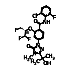 Cn1c(C(C)(C)O)nn(-c2ccc(C(=O)Nc3c(F)cccc3Cl)c(O[C@@H](CF)C(F)F)c2)c1=O